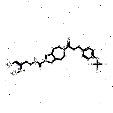 N/C=C(/CCNC(=O)N1CC2CCN(C(=O)CCc3ccc(OC(F)(F)F)cc3)CCC2C1)NN